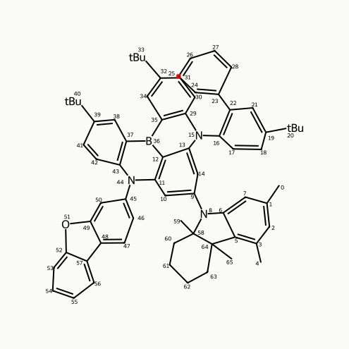 Cc1cc(C)c2c(c1)N(c1cc3c4c(c1)N(c1ccc(C(C)(C)C)cc1-c1ccccc1)c1ccc(C(C)(C)C)cc1B4c1cc(C(C)(C)C)ccc1N3c1ccc3c(c1)oc1ccccc13)C1(C)CCCCC21C